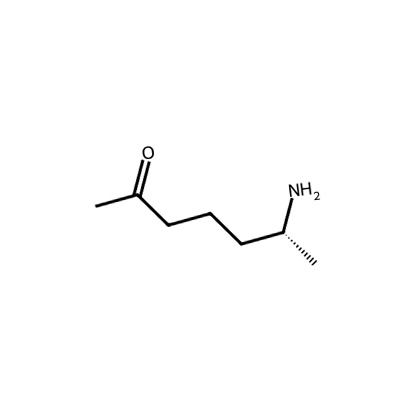 CC(=O)CCC[C@@H](C)N